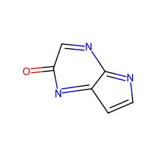 O=C1C=NC2=NC=CC2=N1